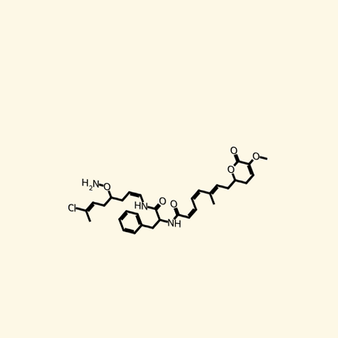 COC1=CCC(C/C=C(C)/C=C\C=C/C(=O)NC(Cc2ccccc2)C(=O)N/C=C\CC(C/C=C(\C)Cl)ON)OC1=O